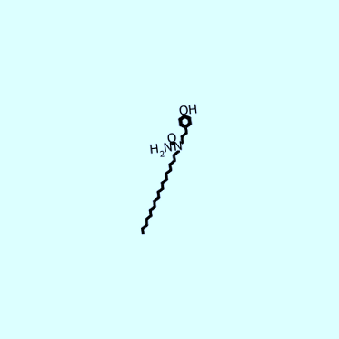 CCCCCCCCCCCCCCCCCCCN(CCCc1ccc(O)cc1)C(N)=O